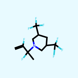 C=C(F)C(C)(F)N1CC(C(F)(F)F)CC(C(F)(F)F)C1